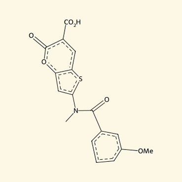 COc1cccc(C(=O)N(C)c2cc3oc(=O)c(C(=O)O)cc3s2)c1